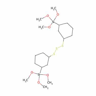 CO[Si](OC)(OC)C1CCCC(SSSC2CCCC([Si](OC)(OC)OC)C2)C1